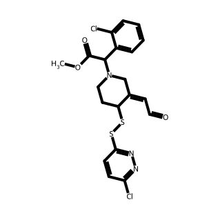 COC(=O)C(c1ccccc1Cl)N1CCC(SSc2ccc(Cl)nn2)/C(=C\C=O)C1